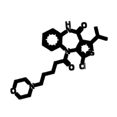 CC(C)c1sc(Cl)c2c1C(=O)Nc1ccccc1N2C(=O)CCCCN1CCOCC1